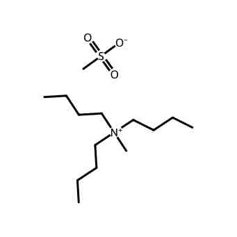 CCCC[N+](C)(CCCC)CCCC.CS(=O)(=O)[O-]